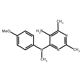 COc1ccc(N(C)c2nc(C)nc(C)c2N)cc1